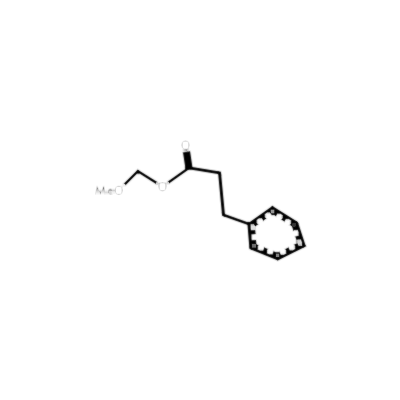 COCOC(=O)CCc1ccccc1